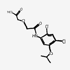 CC(C)Oc1cc(NC(=O)COCC(=O)O)c(Cl)cc1Cl